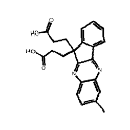 Cc1ccc2nc3c(nc2c1)-c1ccccc1C3(CCC(=O)O)CCC(=O)O